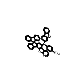 CC(C)(C)c1ccc(N(c2ccc3c(c2)oc2ccccc23)c2cc3c(c4oc5ncccc5c24)-c2ccccc2C32c3ccccc3-c3ccccc32)cc1